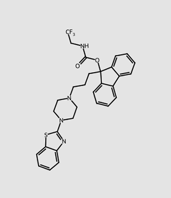 O=C(NCC(F)(F)F)OC1(CCCN2CCN(c3nc4ccccc4s3)CC2)c2ccccc2-c2ccccc21